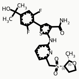 C[C@@H]1OCC[C@@H]1S(=O)(=O)Cc1cccc(Nc2sc(-c3c(F)cc(C(C)(C)O)cc3F)cc2C(N)=O)n1